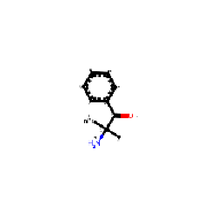 CCCC(C)(N)C(=O)c1ccccc1